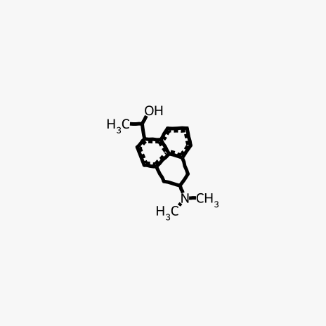 CC(O)c1ccc2c3c(cccc13)CC(N(C)C)C2